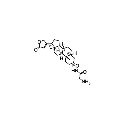 C[C@]12CC[C@@H](ONC(=O)CN)C[C@H]1CC[C@@H]1[C@@H]2CC[C@]2(C)[C@@H](C3=CC(=O)OC3)CC[C@@H]12